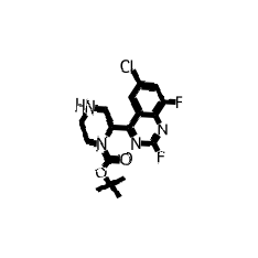 CC(C)(C)OC(=O)N1CCNCC1c1nc(F)nc2c(F)cc(Cl)cc12